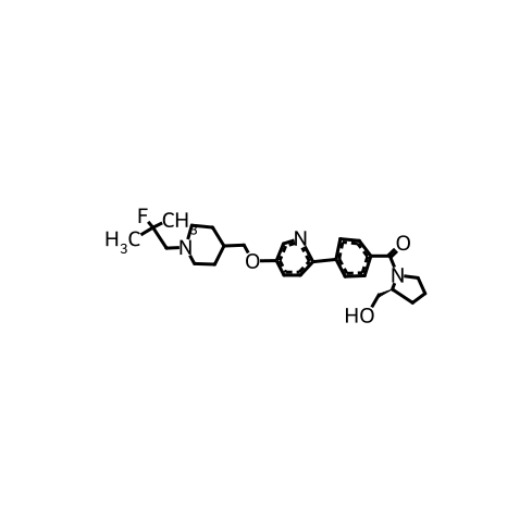 CC(C)(F)CN1CCC(COc2ccc(-c3ccc(C(=O)N4CCC[C@H]4CO)cc3)nc2)CC1